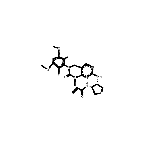 C=CC(=O)N[C@H]1COC[C@H]1Nc1ncc2c(n1)N(C)C(=O)N(c1c(Cl)c(OC)cc(OC)c1Cl)C2